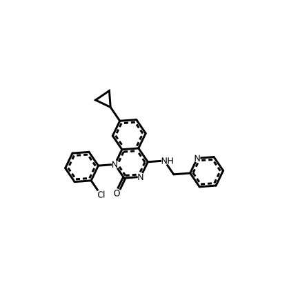 O=c1nc(NCc2ccccn2)c2ccc(C3CC3)cc2n1-c1ccccc1Cl